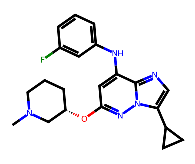 CN1CCC[C@H](Oc2cc(Nc3cccc(F)c3)c3ncc(C4CC4)n3n2)C1